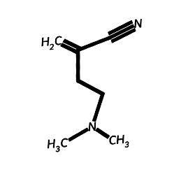 C=C(C#N)CCN(C)C